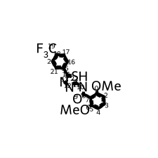 COc1cccc(OC)c1C(=O)Nc1nnc(-c2ccc(C(F)(F)F)cc2)s1